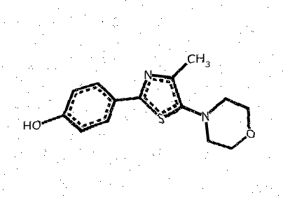 Cc1nc(-c2ccc(O)cc2)sc1N1CCOCC1